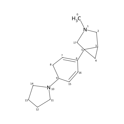 CN1CC2CC2(C2=CCC(N3CCCC3)C=C2)C1